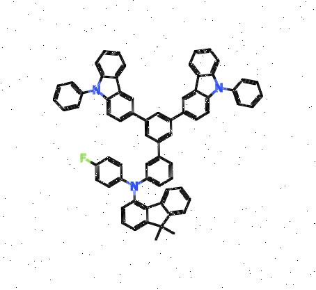 CC1(C)c2ccccc2-c2c(N(c3ccc(F)cc3)c3cccc(-c4cc(-c5ccc6c(c5)c5ccccc5n6-c5ccccc5)cc(-c5ccc6c(c5)c5ccccc5n6-c5ccccc5)c4)c3)cccc21